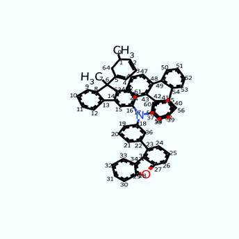 CC1C=CC=C(C2(C)c3ccccc3-c3cc(N(c4cccc(-c5cccc6oc7ccccc7c56)c4)c4ccccc4-c4ccccc4-c4ccccc4-c4ccccc4)ccc32)C1